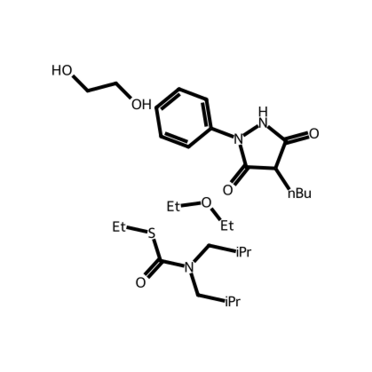 CCCCC1C(=O)NN(c2ccccc2)C1=O.CCOCC.CCSC(=O)N(CC(C)C)CC(C)C.OCCO